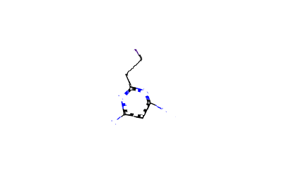 Nc1cc(N)nc(CCI)n1